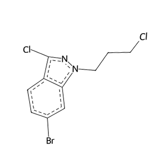 ClCCCn1nc(Cl)c2ccc(Br)cc21